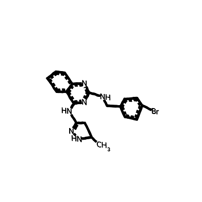 CC1CC(Nc2nc(NCc3ccc(Br)cc3)nc3ccccc23)=NN1